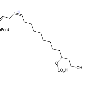 CCCCC/C=C\C/C=C\CCCCCCCCC(CCO)OC(=O)O